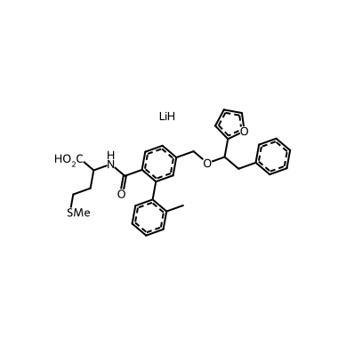 CSCCC(NC(=O)c1ccc(COC(Cc2ccccc2)c2ccco2)cc1-c1ccccc1C)C(=O)O.[LiH]